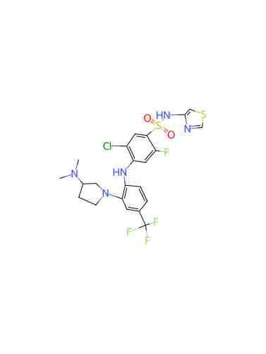 CN(C)C1CCN(c2cc(C(F)(F)F)ccc2Nc2cc(F)c(S(=O)(=O)Nc3cscn3)cc2Cl)C1